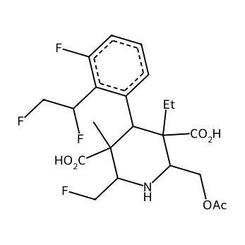 CCC1(C(=O)O)C(COC(C)=O)NC(CF)C(C)(C(=O)O)C1c1cccc(F)c1C(F)CF